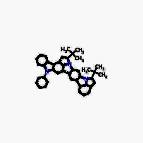 CC(C)(C)c1cc2cccc3c4cc5c6cc7c(c8ccccc8n7-c7ccccc7)c7cc(C(C)(C)C)n(c5cc4n1c23)c67